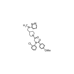 COc1ccc(C(=O)N(CC(=O)N2CCC(CN(C)c3cccnn3)CC2)c2ccccc2Cl)cc1